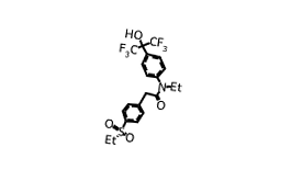 CCN(C(=O)Cc1ccc(S(=O)(=O)CC)cc1)c1ccc(C(O)(C(F)(F)F)C(F)(F)F)cc1